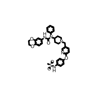 CS(=O)(=O)Nc1ccc(Oc2ccc(CN3CCC(N(C(=O)Nc4ccc5c(c4)OCCO5)c4ccccc4)CC3)cn2)cc1